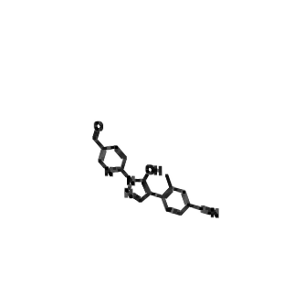 Cc1cc(C#N)ccc1-c1cnn(-c2ccc(C=O)cn2)c1O